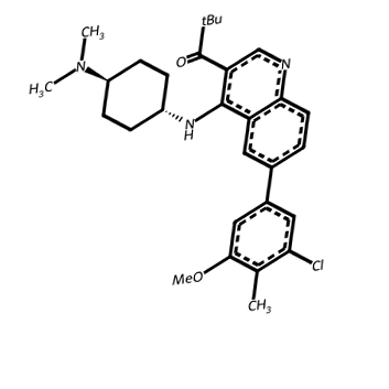 COc1cc(-c2ccc3ncc(C(=O)C(C)(C)C)c(N[C@H]4CC[C@H](N(C)C)CC4)c3c2)cc(Cl)c1C